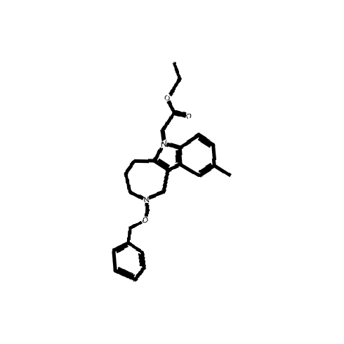 CCOC(=O)Cn1c2c(c3cc(C)ccc31)CN(OCc1ccccc1)CCC2